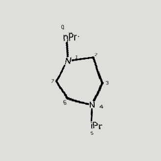 CC[CH]N1CCN(C(C)C)CC1